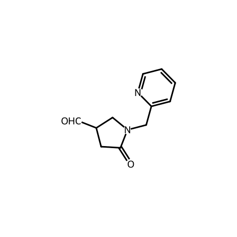 O=CC1CC(=O)N(Cc2ccccn2)C1